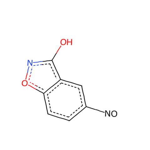 O=Nc1ccc2onc(O)c2c1